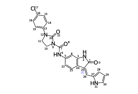 O=C1Nc2cc(NC(=O)N3CCN(c4ccc(Cl)cc4)C3=O)ccc2/C1=C/c1ccc[nH]1